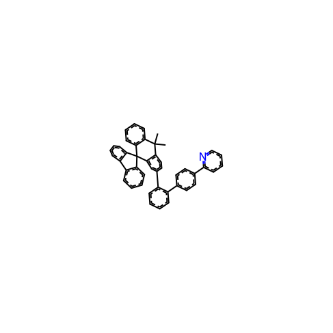 CC1(C)c2ccccc2C2(c3ccccc3-c3ccccc32)c2cc(-c3ccccc3-c3ccc(-c4ccccn4)cc3)ccc21